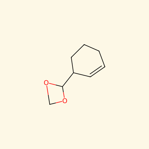 C1=CC(C2OCO2)CCC1